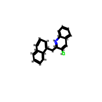 Clc1cc2ccccc2nc1Cc1cccc2ccccc12